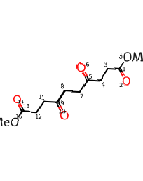 COC(=O)CCC(=O)CCC(=O)CCC(=O)OC